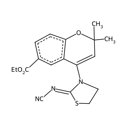 CCOC(=O)c1ccc2c(c1)C(N1CCSC1=NC#N)=CC(C)(C)O2